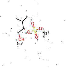 CC(C)CCO.O=S(=O)([O-])[O-].[Na+].[Na+]